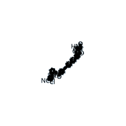 CCN(CC1CCCC(C)C1Oc1ccc(C#N)c(Cl)c1)C(=O)c1ccc(C#CC2CCN(C3CCN(c4ccc5c(c4)C(=O)N(C4CCC(=O)NC4=O)C5=O)CC3)CC2)cc1